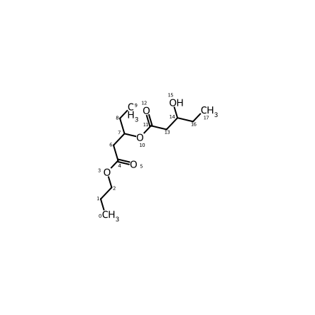 CCCOC(=O)CC(CC)OC(=O)CC(O)CC